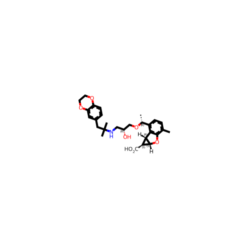 Cc1ccc([C@@H](C)OC[C@H](O)CNC(C)(C)Cc2ccc3c(c2)OCCO3)c2c1O[C@@H]1[C@@H](C(=O)O)[C@H]21